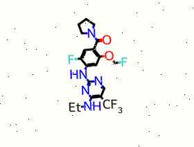 CCNc1nc(Nc2cc(OCF)c(C(=O)N3CCCC3)cc2F)ncc1C(F)(F)F